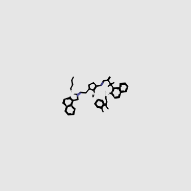 C=C(/C=C/C1=C(S(=O)(=O)c2ccc(C)cc2)C(C/C=C2\Cc3c(ccc4ccccc34)N2CCCC)CC1)C(C)(C)c1c(NCCCC)ccc2ccccc12